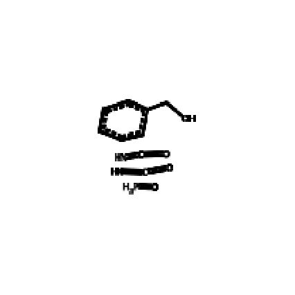 N=C=O.N=C=O.O=[PH3].OCc1ccccc1